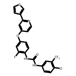 O=C(Nc1ccc(Cl)c(C(F)(F)F)c1)Nc1ccc(Oc2ccnc(-c3ccsc3)c2)cc1F